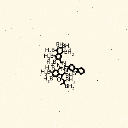 B=C(B)c1c(/C(B)=C(/B)C)oc2c(B)c(B)c(B)c(-c3nc(-c4ccc5c(c4)sc4ccccc45)nc(-c4cc5c(B)c(B)c(B)c(B)c5c(B)c4B)n3)c12